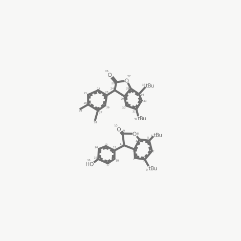 CC(C)(C)c1cc2c(c(C(C)(C)C)c1)OC(=O)C2c1ccc(O)cc1.Cc1ccc(C2C(=O)Oc3c2cc(C(C)(C)C)cc3C(C)(C)C)cc1C